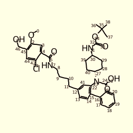 COc1cc(C(=O)NCCCCc2ccc(-c3ccccc3)c(N(C(=O)O)[C@H]3CC[C@H](NC(=O)OC(C)(C)C)CC3)c2)c(Cl)cc1CO